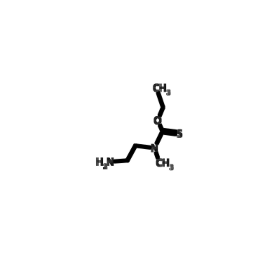 CCOC(=S)N(C)CCN